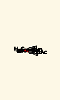 CC(=O)O[C@@H](CCl)COc1c(Cl)cc(C(C)(C)c2ccc(OC[C@@H](C)CN3CCOCC3)cc2)cc1Cl